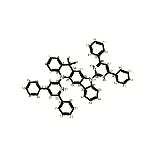 CC1(C)c2ccccc2N(c2cc(-c3ccccc3)cc(-c3ccccc3)n2)c2cc3c4ccccc4n(-c4nc(-c5ccccc5)cc(-c5ccccc5)n4)c3cc21